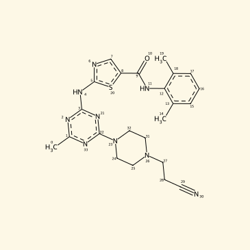 Cc1nc(Nc2ncc(C(=O)Nc3c(C)cccc3C)s2)nc(N2CCN(CCC#N)CC2)n1